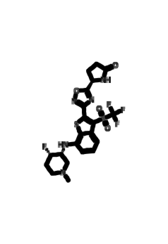 CN1CC[C@H](F)[C@H](Nc2cccc3c(S(=O)(=O)C(F)(F)F)c(-c4noc([C@H]5CCC(=O)N5)n4)sc23)C1